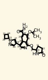 CC(C)Oc1cc2c(OCC3CCC(=O)N3)ncc(-c3cnn(C4CCC4)c3)c2cc1C(N)=O